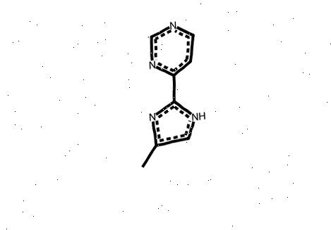 Cc1c[nH]c(-c2ccn[c]n2)n1